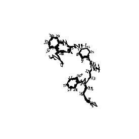 CN(C)c1cc(N[C@H]2CC[C@@H](NCCN(CCC#N)c3ccccc3)CC2)nc2ccccc12